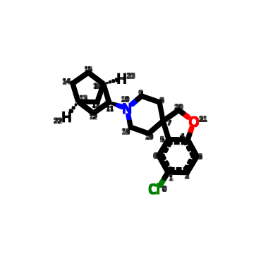 Clc1ccc2c(c1)C1(CCN([C@H]3C[C@H]4CC[C@@H]3C4)CC1)CO2